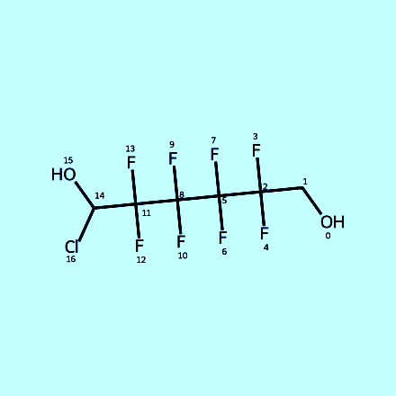 OCC(F)(F)C(F)(F)C(F)(F)C(F)(F)C(O)Cl